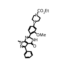 CCOC(=O)N1CCN(c2ccc(-c3nc4c(c(-c5ccccc5)nn4C)c(=O)[nH]3)c(OC)c2)CC1